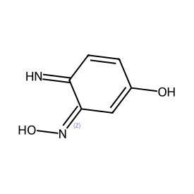 N=C1C=CC(O)=C/C1=N/O